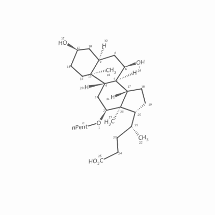 CCCCCO[C@H]1C[C@H]2[C@@H]([C@H](O)C[C@@H]3C[C@H](O)CC[C@@]32C)[C@@H]2CC[C@H]([C@H](C)CCC(=O)O)[C@@]12C